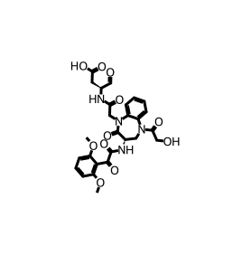 COc1cccc(OC)c1C(=O)C(=O)N[C@H]1CN(C(=O)CO)c2ccccc2N(CC(=O)N[C@H](C=O)CC(=O)O)C1=O